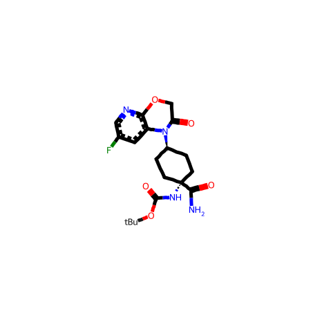 CC(C)(C)OC(=O)N[C@]1(C(N)=O)CC[C@@H](N2C(=O)COc3ncc(F)cc32)CC1